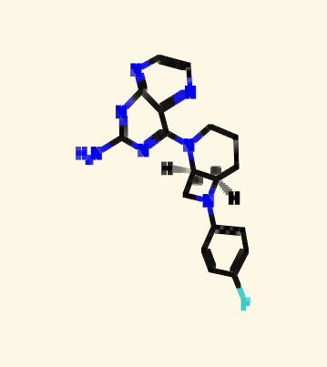 Nc1nc(N2CCC[C@@H]3[C@H]2CN3c2ccc(F)cc2)c2nccnc2n1